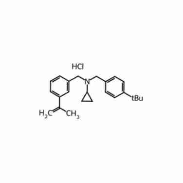 C=C(C)c1cccc(CN(Cc2ccc(C(C)(C)C)cc2)C2CC2)c1.Cl